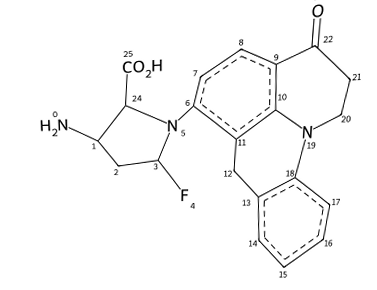 NC1CC(F)N(c2ccc3c4c2Cc2ccccc2N4CCC3=O)C1C(=O)O